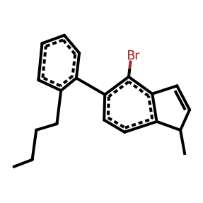 CCCCc1ccccc1-c1ccc2c(c1Br)C=CC2C